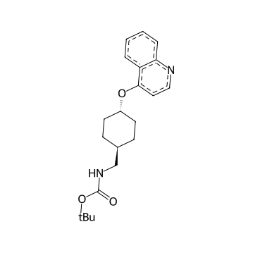 CC(C)(C)OC(=O)NC[C@H]1CC[C@H](Oc2ccnc3ccccc23)CC1